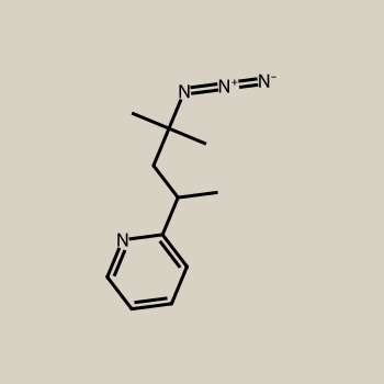 CC(CC(C)(C)N=[N+]=[N-])c1ccccn1